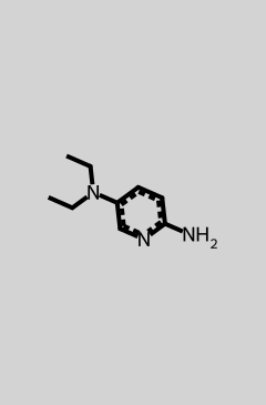 CCN(CC)c1ccc(N)nc1